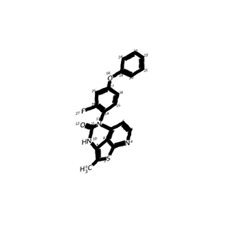 Cc1sc2nccc3c2c1NC(=O)N3c1ccc(Oc2ccccc2)cc1F